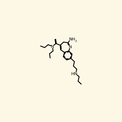 C=C(C1=Cc2ccc(CCCNCCC)cc2N=C(N)C1)N(CCC)CCC